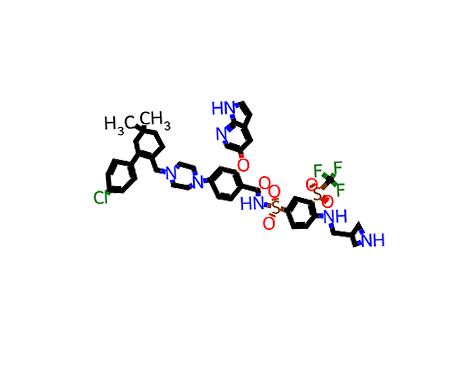 CC1(C)CCC(CN2CCN(c3ccc(C(=O)NS(=O)(=O)c4ccc(NCC5CNC5)c(S(=O)(=O)C(F)(F)F)c4)c(Oc4cnc5[nH]ccc5c4)c3)CC2)=C(c2ccc(Cl)cc2)C1